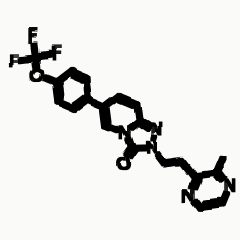 Cc1nccnc1CCn1nc2ccc(-c3ccc(OC(F)(F)F)cc3)cn2c1=O